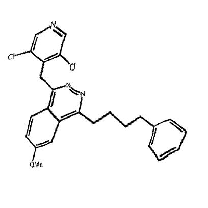 COc1ccc2c(Cc3c(Cl)cncc3Cl)nnc(CCCCc3ccccc3)c2c1